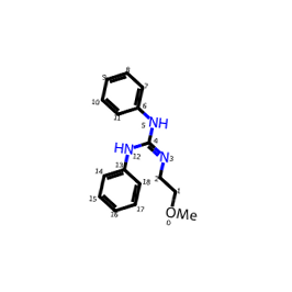 COCCN=C(Nc1ccccc1)Nc1ccccc1